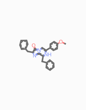 COc1ccc(-c2cn3c(=O)c(Cc4ccccc4)nc-3c(Cc3ccccc3)[nH]2)cc1